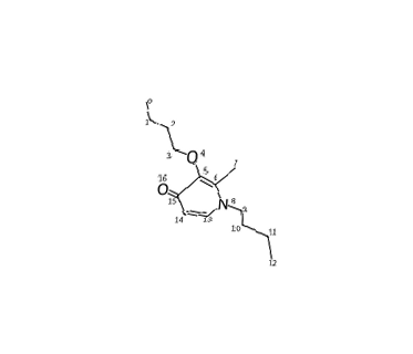 CCCCOc1c(C)n(CCCC)ccc1=O